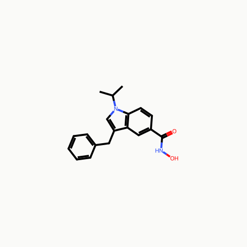 CC(C)n1cc(Cc2ccccc2)c2cc(C(=O)NO)ccc21